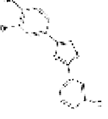 Oc1ccc(-c2csc(-c3cccc(Cl)c3)n2)cc1O